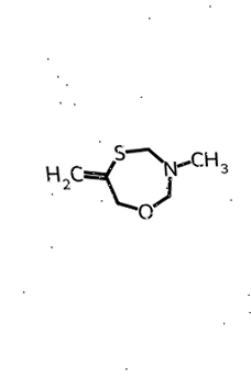 C=C1COCN(C)CS1